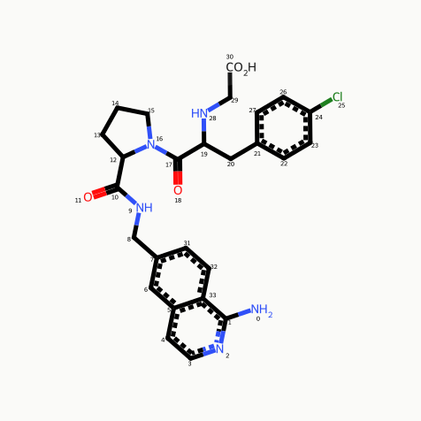 Nc1nccc2cc(CNC(=O)C3CCCN3C(=O)C(Cc3ccc(Cl)cc3)NCC(=O)O)ccc12